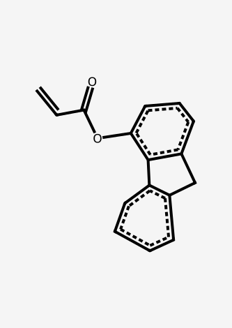 C=CC(=O)Oc1cccc2c1-c1ccccc1C2